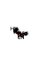 N#CCC(c1cncc(Sc2ccccc2)c1)n1cc(-c2ncnc3[nH]ccc23)cn1